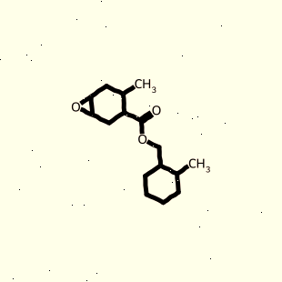 CC1CCCCC1COC(=O)C1CC2OC2CC1C